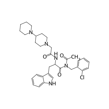 CC(=O)N(Cc1ccccc1Cl)C(=O)C(Cc1c[nH]c2ccccc12)NC(=O)CN1CCC(N2CCCCC2)CC1